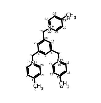 Cc1cc[n+](Cc2cc(C[n+]3ccc(C)cc3)cc(C[n+]3ccc(C)cc3)c2)cc1